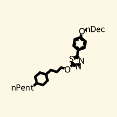 CCCCCCCCCCOc1ccc(-c2nnc(OCCCC3CCC(CCCCC)CC3)s2)cc1